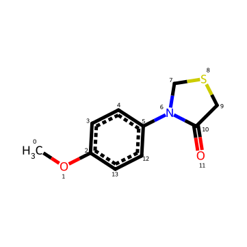 COc1ccc(N2CSCC2=O)cc1